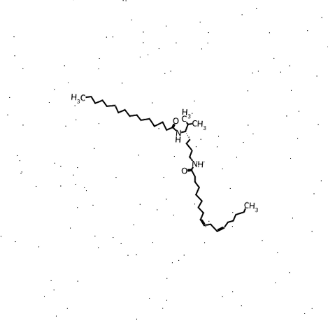 CCCCC/C=C\C/C=C\CCCCCCCC(=O)NCCCC[C@H](NC(=O)CCCCCCCCCCCCCCC)C(C)C